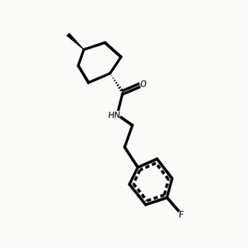 C[C@H]1CC[C@H](C(=O)NCCc2ccc(F)cc2)CC1